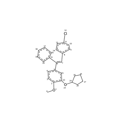 COc1ccc(C(=Cc2ccc(Cl)cc2)c2ccccc2)cc1OC1CCCC1